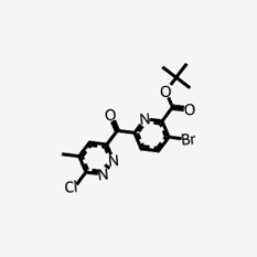 Cc1cc(C(=O)c2ccc(Br)c(C(=O)OC(C)(C)C)n2)nnc1Cl